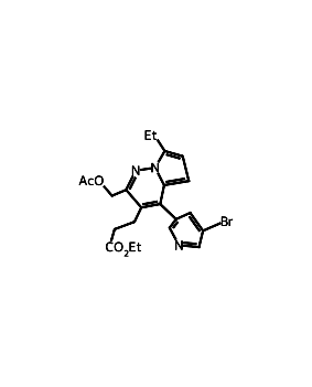 CCOC(=O)CCc1c(COC(C)=O)nn2c(CC)ccc2c1-c1cncc(Br)c1